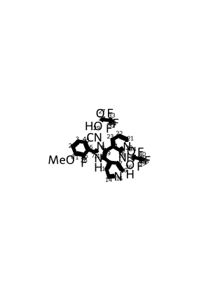 COc1ccc(C#N)c(-c2nc3c([nH]2)-c2ccncc2Nc2ncccc2-3)c1F.O=C(O)C(F)(F)F.O=C(O)C(F)(F)F